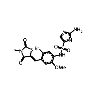 COc1cc(/C=C2\SC(=O)N(C)C2=O)c(Br)cc1NS(=O)(=O)c1csc(N)n1